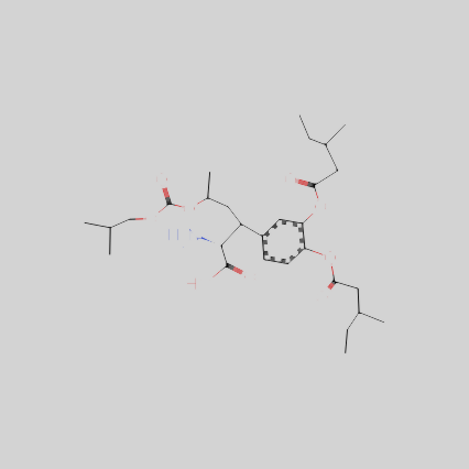 CCC(C)CC(=O)Oc1ccc(C(CC(C)OC(=O)OCC(C)C)[C@H](N)C(=O)O)cc1OC(=O)CC(C)CC